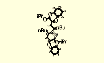 CCCCC(CC(Oc1ccccc1)C(=O)OC(C)C)OC(CCCC)CC(Oc1ccccc1)C(=O)OC(C)C